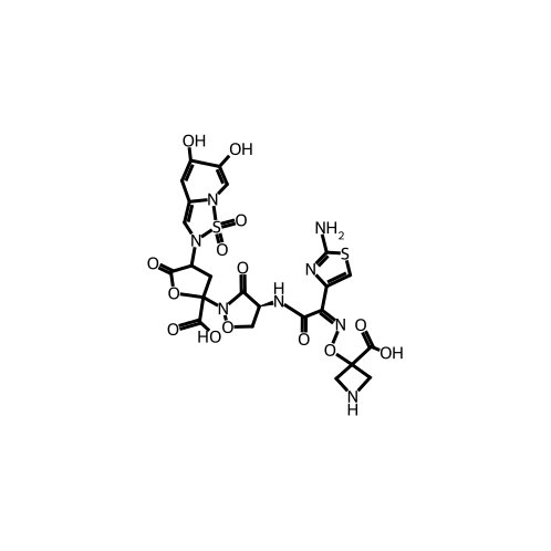 Nc1nc(/C(=N/OC2(C(=O)O)CNC2)C(=O)N[C@H]2CON(C3(C(=O)O)CC(N4C=C5C=C(O)C(O)=CN5S4(=O)=O)C(=O)O3)C2=O)cs1